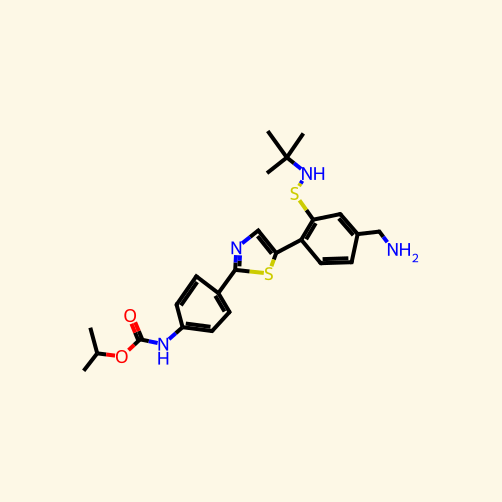 CC(C)OC(=O)Nc1ccc(-c2ncc(-c3ccc(CN)cc3SNC(C)(C)C)s2)cc1